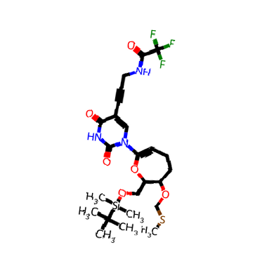 CSCOC1CCC=C(n2cc(C#CCNC(=O)C(F)(F)F)c(=O)[nH]c2=O)OC1CO[Si](C)(C)C(C)(C)C